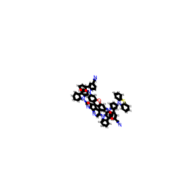 N#Cc1ccc2c(c1)c1ccccc1n2-c1ccc2c(c1)Oc1cc(-n3c4ccc(C#N)cc4c4cc(N5c6ccccc6Sc6ccccc65)ccc43)ccc1C21c2cc(-n3c4ccccc4c4ccccc43)cnc2-c2ncc(-n3c4ccccc4c4ccccc43)cc21